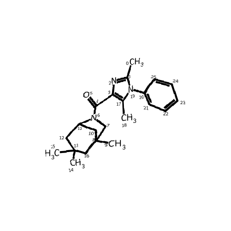 Cc1nc(C(=O)N2CC3(C)CC2CC(C)(C)C3)c(C)n1-c1ccccc1